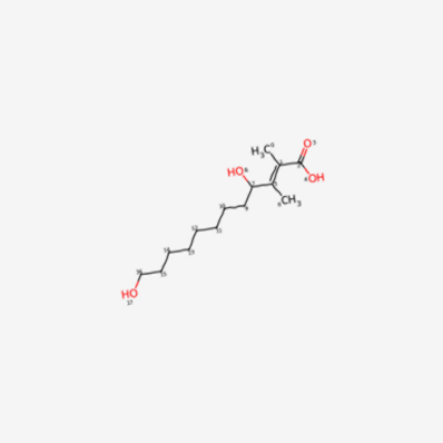 CC(C(=O)O)=C(C)C(O)CCCCCCCCO